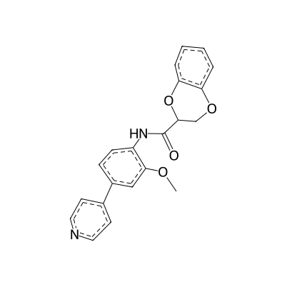 COc1cc(-c2ccncc2)ccc1NC(=O)C1COc2ccccc2O1